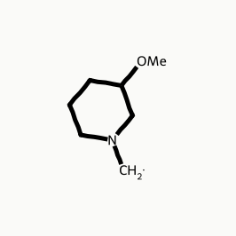 [CH2]N1CCCC(OC)C1